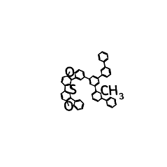 CC1C(c2cc(-c3cccc(-c4ccccc4)c3)cc(-c3ccc4oc5ccc6c7ccc8oc9ccccc9c8c7sc6c5c4c3)c2)=CC=CC1c1ccccc1